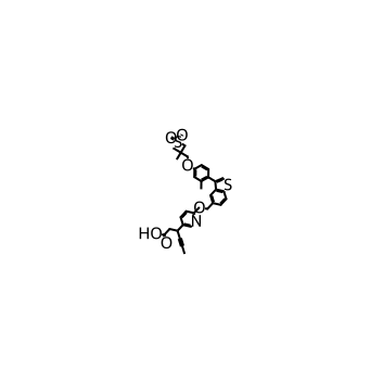 CC#CC(CC(=O)O)c1ccc(OCc2ccc3scc(-c4ccc(OCC5(C)CS(=O)(=O)C5)cc4C)c3c2)nc1